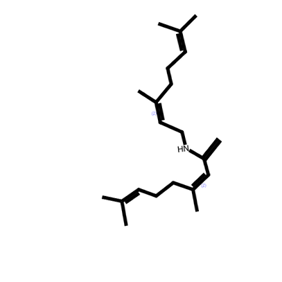 C=C(/C=C(/C)CCC=C(C)C)NC/C=C(/C)CCC=C(C)C